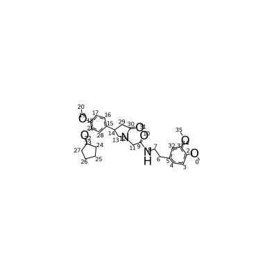 COc1ccc(CCNC(=O)CN2CC(c3ccc(OC)c(OC4CCCC4)c3)CC2=O)cc1OC